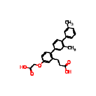 Cc1cccc(-c2ccc(-c3ccc(OCC(=O)O)cc3CCC(=O)O)cc2C)c1